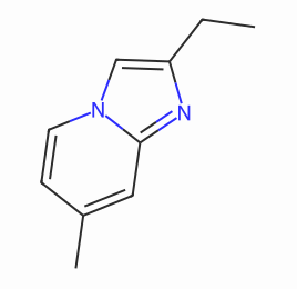 CCc1cn2ccc(C)cc2n1